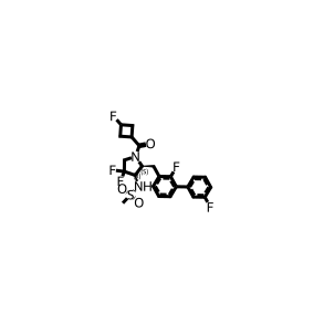 CS(=O)(=O)N[C@@H]1[C@H](Cc2cccc(-c3cccc(F)c3)c2F)N(C(=O)C2CC(F)C2)CC1(F)F